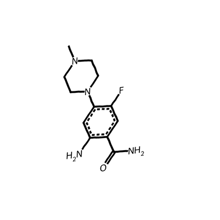 CN1CCN(c2cc(N)c(C(N)=O)cc2F)CC1